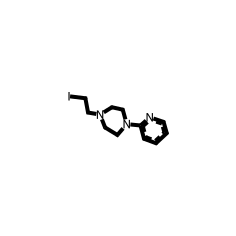 ICCN1CCN(c2ccccn2)CC1